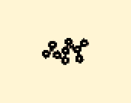 c1ccc(-c2cc(-c3ccccc3)cc(-n3c4ccccc4c4ccc(-c5ccccc5-c5ccc(N(c6ccccc6)c6ccccc6)cc5)cc43)c2)cc1